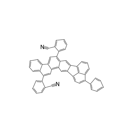 N#Cc1ccccc1-c1cc2c3cc4c(cc3c(-c3ccccc3C#N)cc2c2ccccc12)-c1cccc2c(-c3ccccc3)ccc-4c12